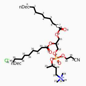 CCCCCCCCCCCCCCCCCC(=O)OCC(COP(=O)(OCCC#N)OC(C)CC[N+](C)(C)C)OC(=O)CCCCCCCCCCCCCCCCC.[Cl-]